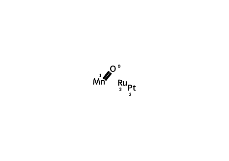 [O]=[Mn].[Pt].[Ru]